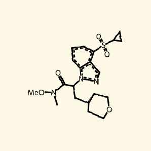 CON(C)C(=O)C(CC1CCOCC1)n1ncc2c(S(=O)(=O)C3CC3)cccc21